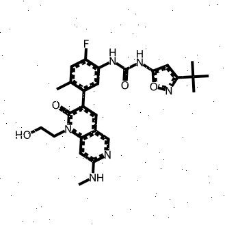 CNc1cc2c(cn1)cc(-c1cc(NC(=O)Nc3cc(C(C)(C)C)no3)c(F)cc1C)c(=O)n2CCO